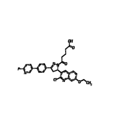 CCOc1ccc2cc(C3CC(c4ccc(-c5ccc(F)nc5)cc4)=NN3C(=O)CCCC(=O)O)c(Cl)nc2c1